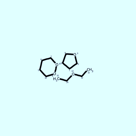 C1CCOC1.C1CCOOC1.CCOCC